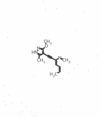 C=N/C(C#Cc1c(OC)n[nH]c1C)=C\C=C/C